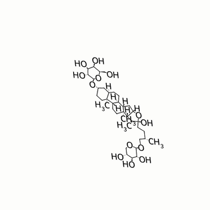 C[C@@H](CC[C@@]1(O)O[C@H]2C[C@H]3[C@@H]4CC[C@@H]5C[C@@H](O[C@@H]6O[C@H](CO)[C@H](O)[C@H](O)[C@H]6O)CC[C@]5(C)[C@H]4CC[C@]3(C)[C@H]2[C@@H]1C)CO[C@@H]1OC[C@@H](O)[C@H](O)[C@H]1O